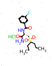 CCCC(CCC)S(=O)(=O)C[C@@H](NC(=O)c1cccc(F)c1)C(N)=O.Cl